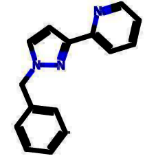 [c]1cccc(Cn2ccc(-c3ccccn3)n2)c1